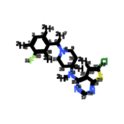 [2H]c1cc([2H])c(C([2H])N2CCC([2H])(N([2H])c3ncnc4sc(Cl)c([2H])c34)CC2)c([2H])c1F